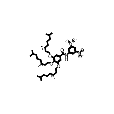 CC(C)CCC[C@@H](C)CCOc1cc(C(=O)Nc2cc([N+](=O)[O-])cc([N+](=O)[O-])c2)cc(OCC[C@H](C)CCCC(C)C)c1OCC[C@H](C)CCCC(C)C